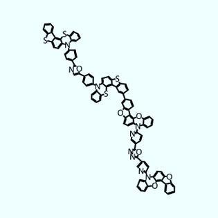 c1ccc2c(c1)Oc1c(ccc3oc4ccccc4c13)N2c1ccc(-c2nnc(-c3ccc(N4c5ccccc5Oc5c4ccc4oc6cc(-c7ccc8sc9ccc%10c(c9c8c7)Sc7ccccc7N%10c7ccc(-c8cnc(-c9ccc(N%10c%11ccccc%11Sc%11c%10ccc%10sc%12ccccc%12c%11%10)cc9)o8)cc7)ccc6c54)nc3)o2)cn1